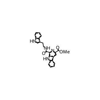 COC(=O)c1cc2c([nH]c3ccccc32)c(C(=O)NCCc2c[nH]c3ccccc23)n1